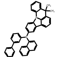 CC1(C)c2ccccc2-n2c3ccc(N(c4cccc(-c5ccccc5)c4)c4cccc5ccccc45)cc3c3cccc1c32